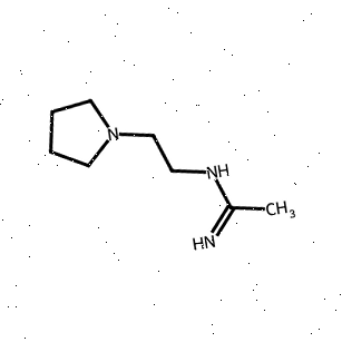 CC(=N)NCCN1CCCC1